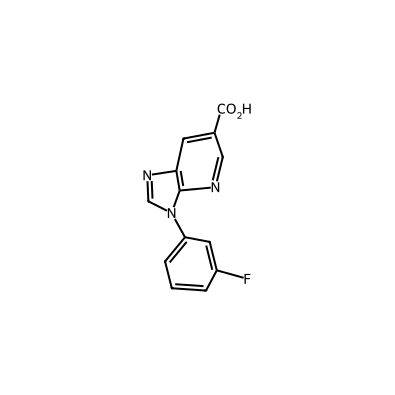 O=C(O)c1cnc2c(c1)ncn2-c1cccc(F)c1